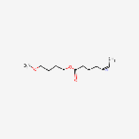 C/C=C\CCCC(=O)OCCCCO[N+](=O)[O-]